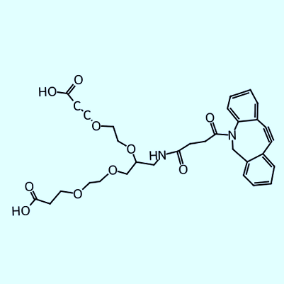 O=C(O)CCOCCOCC(CNC(=O)CCC(=O)N1Cc2ccccc2C#Cc2ccccc21)OCCOCCC(=O)O